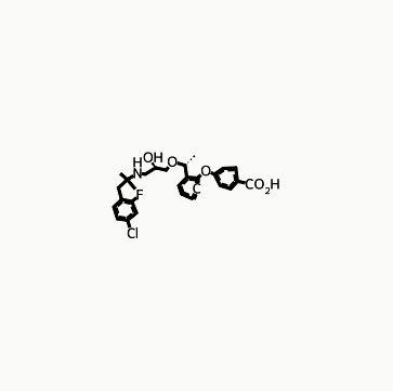 C[C@@H](OC[C@H](O)CNC(C)(C)Cc1ccc(Cl)cc1F)c1ccccc1Oc1ccc(C(=O)O)cc1